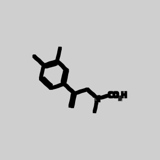 C=C(CN(C)C(=O)O)c1ccc(C)c(C)c1